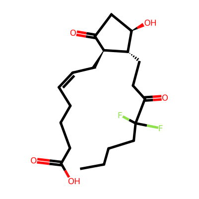 CCCCC(F)(F)C(=O)CC[C@H]1[C@H](O)CC(=O)[C@@H]1C/C=C\CCCC(=O)O